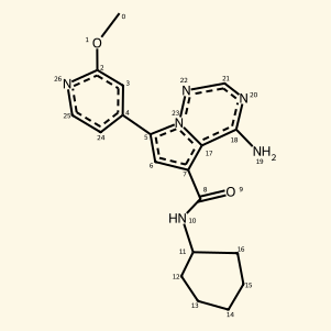 COc1cc(-c2cc(C(=O)NC3CCCCC3)c3c(N)ncnn23)ccn1